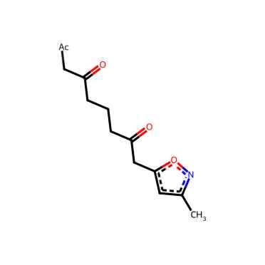 CC(=O)CC(=O)CCCC(=O)Cc1cc(C)no1